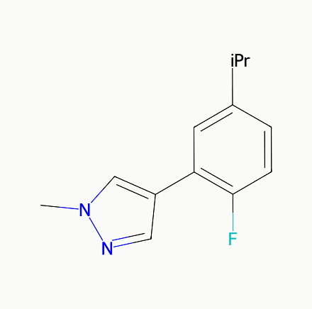 CC(C)c1ccc(F)c(-c2cnn(C)c2)c1